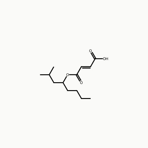 CCCCC(CC(C)C)OC(=O)C=CC(=O)O